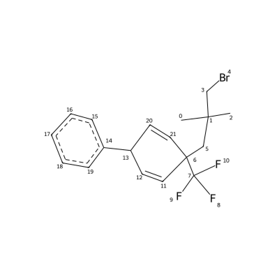 CC(C)(CBr)CC1(C(F)(F)F)C=CC(c2ccccc2)C=C1